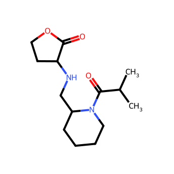 CC(C)C(=O)N1CCCCC1CNC1CCOC1=O